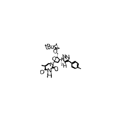 [2H]c1c(-c2ccc(C)cc2)nnn1[C@H]1C[C@H](n2cc(C)c(=O)[nH]c2=O)O[C@@H]1CO[Si](C)(C)C(C)(C)C